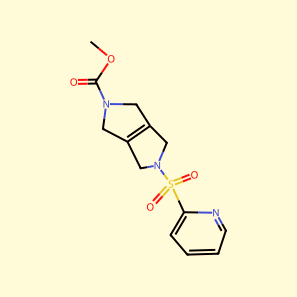 COC(=O)N1CC2=C(C1)CN(S(=O)(=O)c1ccccn1)C2